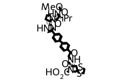 COC(=O)N[C@H](C(=O)N1CCC[C@H]1c1nc(-c2ccc(-c3ccc(C(=O)CNC(=O)[C@@H]4CC5(CN4C(=O)O)SCCS5)cc3)cc2)c[nH]1)C(C)C